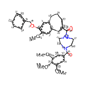 COc1cc2c(cc1OCc1ccccc1)CCCC(C(=O)N1CCN(C(=O)c3cc(OC)c(OC)c(OC)c3)CC1)=C2